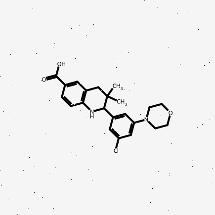 CC1(C)Cc2cc(C(=O)O)ccc2NC1c1cc(Cl)cc(N2CCOCC2)c1